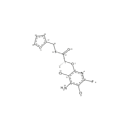 C[C@@H](Oc1nc(F)c(Cl)c(N)c1Cl)C(=O)SCc1ccco1